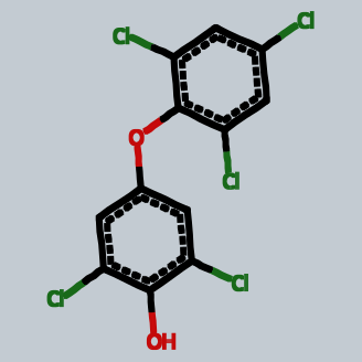 Oc1c(Cl)cc(Oc2c(Cl)cc(Cl)cc2Cl)cc1Cl